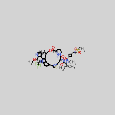 CO[C@@H](C)c1ncccc1-c1c2c3cc(ccc3n1CC(F)(F)F)-c1csc(n1)C[C@H](NC(=O)[C@H](C(C)C)N(C)C(=O)[C@H]1C[C@H](/C=C/S(C)(=O)=O)C1)C(=O)N1CCC[C@H](N1)C(=O)OCC(C)(C)C2